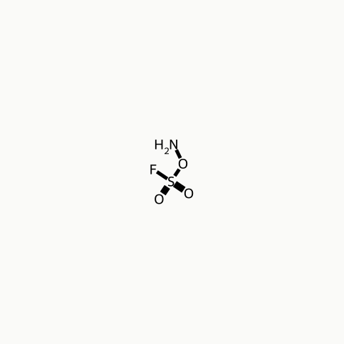 NOS(=O)(=O)F